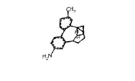 Cc1ccc2c(c1)C13CCCC(c4cc(N)ccc4-2)[C@H]1CC3